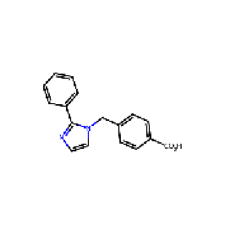 O=C(O)c1ccc(Cn2ccnc2-c2ccccc2)cc1